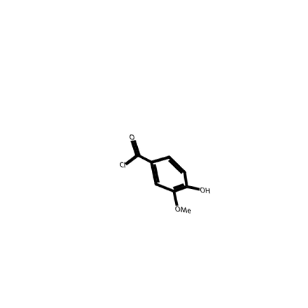 COc1cc(C(=O)Cl)ccc1O